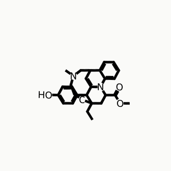 CCC12CCCN(C)CC3C=C(C1c1ccc(O)cc1)N(c1ccccc13)C(C(=O)OC)C2